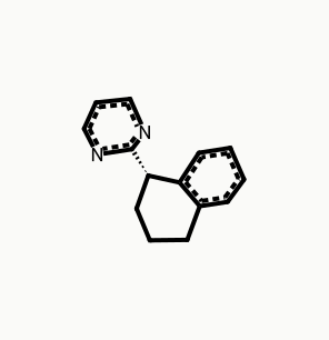 c1cnc([C@H]2CCCc3ccccc32)nc1